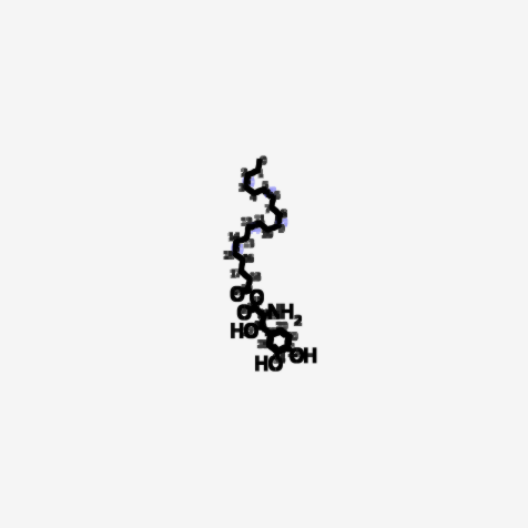 CC/C=C\C/C=C\C/C=C\C/C=C\C/C=C\CCCC(=O)OC(=O)[C@@H](N)[C@H](O)c1ccc(O)c(O)c1